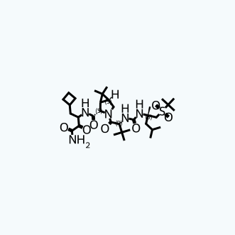 CC(C)C[C@@](C)(CS(=O)(=O)C(C)(C)C)NC(=O)N[C@@H](C(=O)N1C[C@H]2C([C@H]1C(=O)NC(CC1CCC1)C(=O)C(N)=O)C2(C)C)C(C)(C)C